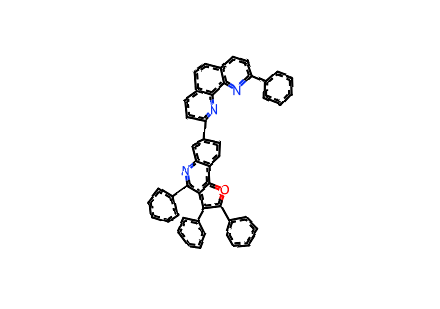 c1ccc(-c2ccc3ccc4ccc(-c5ccc6c(c5)nc(-c5ccccc5)c5c(-c7ccccc7)c(-c7ccccc7)oc56)nc4c3n2)cc1